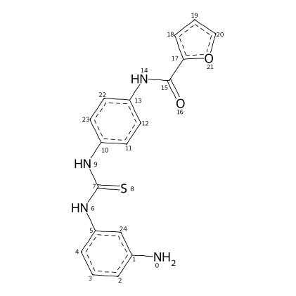 Nc1cccc(NC(=S)Nc2ccc(NC(=O)c3ccco3)cc2)c1